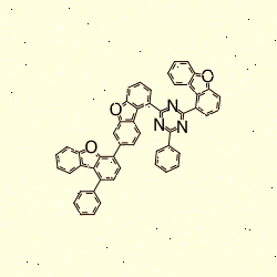 c1ccc(-c2nc(-c3cccc4oc5ccccc5c34)nc(-c3cccc4oc5cc(-c6ccc(-c7ccccc7)c7c6oc6ccccc67)ccc5c34)n2)cc1